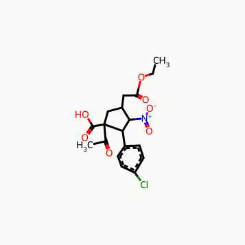 CCOC(=O)CC1CC(C(C)=O)(C(=O)O)C(c2ccc(Cl)cc2)C1[N+](=O)[O-]